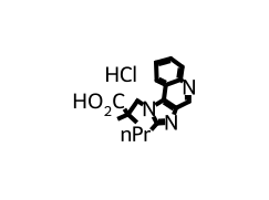 CCCc1nc2cnc3ccccc3c2n1CC(C)(C)C(=O)O.Cl